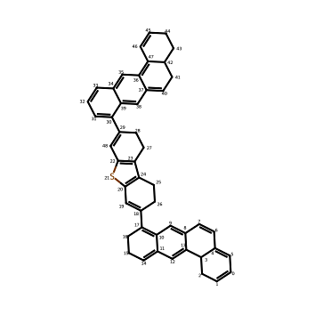 C1=CCC2C(=C1)C=Cc1cc3c(cc12)=CCCC=3C1=Cc2sc3c(c2CC1)CCC(c1cccc2cc4c(cc12)=CCC1CCC=CC=41)=C3